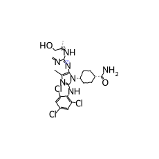 C=N/C(=N\c1c(C)nc(Nc2c(Cl)cc(Cl)cc2Cl)n1[C@H]1CC[C@@H](C(N)=O)CC1)N[C@@H](C)CO